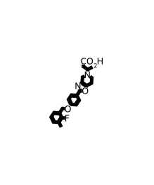 Cc1cccc(COc2ccc(-c3nc4c(o3)CCN(C(C)CC(=O)O)C4)cc2)c1F